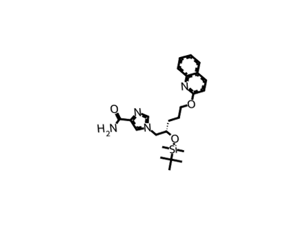 CC(C)(C)[Si](C)(C)O[C@@H](CCCOc1ccc2ccccc2n1)Cn1cnc(C(N)=O)c1